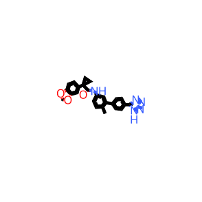 Cc1ccc(NC(=O)C2(c3ccc4c(c3)OCO4)CC2)cc1-c1ccc(-c2nnn[nH]2)cc1